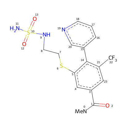 CNC(=O)c1cc(SCCNS(N)(=O)=O)c(-c2cccnc2)c(C(F)(F)F)c1